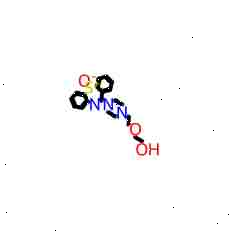 [O-][S+]1c2ccccc2N=C(N2CCN(CCOCCO)CC2)c2ccccc21